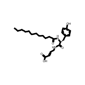 CCCCCCCCCCCC(=O)N[C@@H](Cc1ccc(O)cc1)C(=O)NC/C=C/C(=O)O